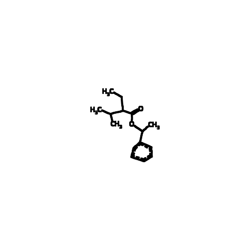 CCC(C(=O)OC(C)c1ccccc1)C(C)C